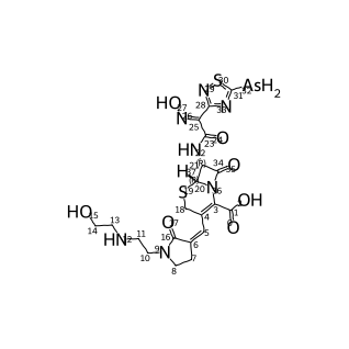 O=C(O)C1=C(C=C2CCN(CCNCCO)C2=O)CS[C@@H]2[C@H](NC(=O)C(=NO)c3nsc([AsH2])n3)C(=O)N12